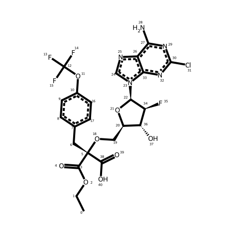 CCOC(=O)[C@](Cc1ccc(OC(F)(F)F)cc1)(OC[C@H]1O[C@@H](n2cnc3c(N)nc(Cl)nc32)[C@@H](F)[C@@H]1O)C(=O)O